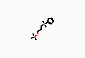 C[Si](C)(C)OCCC[Si](C)(C)C1=CC=CC1